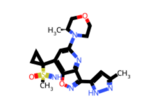 Cc1cc(-c2noc3c(C4(S(C)(=N)=O)CC4)cc(N4CCOC[C@H]4C)nc23)[nH]n1